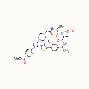 COC(=O)c1ccc(N2CC(N3CCN(CC(=O)NC(C(=O)N4C[C@H](O)CC4C(=O)NC(C)c4ccc(-c5scnc5C)cc4)C(C)(C)C)CC3)C2)nc1